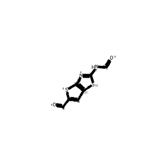 O=CNc1nc2sc(C=O)cc2s1